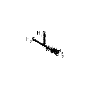 CCCCCCCCCCCCN(CCCCCCCCCCCC)CCCNC(=O)CCCC1CCC2C3CCC4(C)CCCCC4(C)C3CCC12C